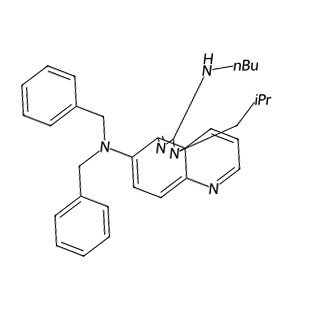 CCCCNC1N=C2C(N(Cc3ccccc3)Cc3ccccc3)=CC=C3N=CC=CC32N1CC(C)C